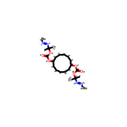 CCC(C)N=NC(C)(CC)OC(=O)OC1CCCCCC(OC(=O)OC(C)(CC)N=NC(C)CC)CCCCC1